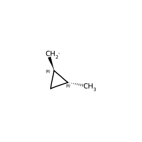 [CH2][C@@H]1C[C@H]1C